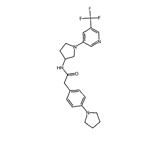 O=C(Cc1ccc(N2CCCC2)cc1)NC1CCN(c2cncc(C(F)(F)F)c2)C1